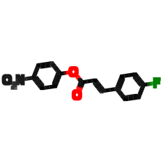 O=C(/C=C/c1ccc(F)cc1)Oc1ccc([N+](=O)[O-])cc1